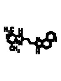 CC1=CN=C(C)C2NC(CCc3nc4c(ccc5ncccc54)[nH]3)=NN12